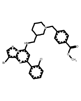 COC(=O)c1ccc(CN2CCCC(CNc3cc(-c4ccccc4Cl)nc4c(Br)cnn34)C2)cc1